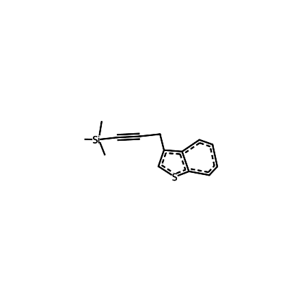 C[Si](C)(C)C#CCc1csc2ccccc12